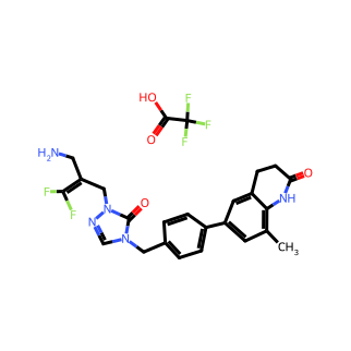 Cc1cc(-c2ccc(Cn3cnn(CC(CN)=C(F)F)c3=O)cc2)cc2c1NC(=O)CC2.O=C(O)C(F)(F)F